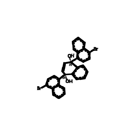 O[C@]1(c2ccc(Br)c3ccccc23)C=C[C@@](O)(c2ccc(Br)c3ccccc23)c2ccccc21